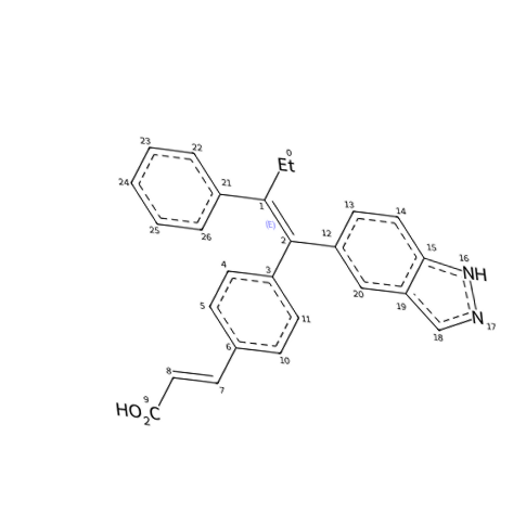 CC/C(=C(/c1ccc(C=CC(=O)O)cc1)c1ccc2[nH]ncc2c1)c1ccccc1